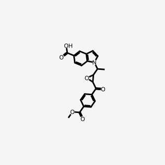 COC(=O)c1ccc(C(=O)C2OC2C(C)n2ccc3cc(C(=O)O)ccc32)cc1